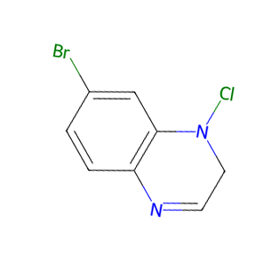 ClN1CC=Nc2ccc(Br)cc21